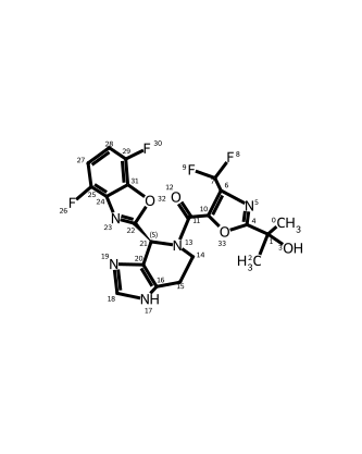 CC(C)(O)c1nc(C(F)F)c(C(=O)N2CCc3[nH]cnc3[C@H]2c2nc3c(F)ccc(F)c3o2)o1